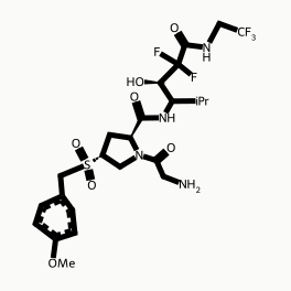 COc1ccc(CS(=O)(=O)[C@@H]2C[C@@H](C(=O)NC(C(C)C)[C@@H](O)C(F)(F)C(=O)NCC(F)(F)F)N(C(=O)CN)C2)cc1